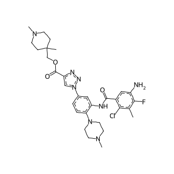 Cc1c(F)c(N)cc(C(=O)Nc2cc(-n3cc(C(=O)OCC4(C)CCN(C)CC4)nn3)ccc2N2CCN(C)CC2)c1Cl